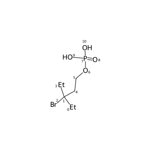 CCC(Br)(CC)CCOP(=O)(O)O